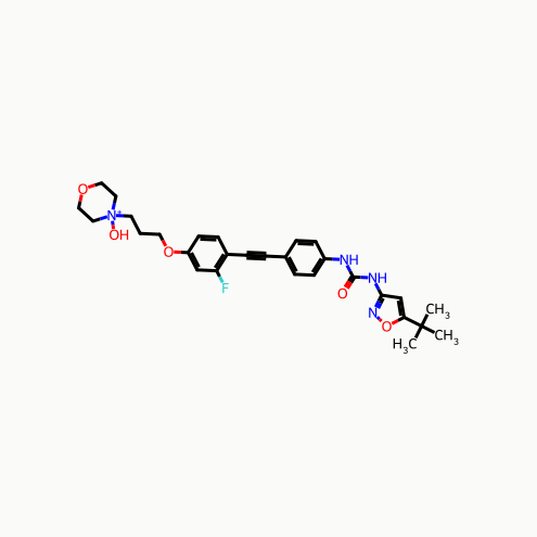 CC(C)(C)c1cc(NC(=O)Nc2ccc(C#Cc3ccc(OCCC[N+]4(O)CCOCC4)cc3F)cc2)no1